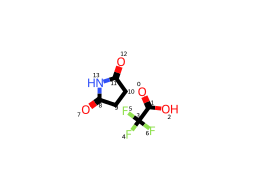 O=C(O)C(F)(F)F.O=C1CCC(=O)N1